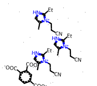 CCc1[nH]cc(C)[n+]1CCC#N.CCc1[nH]cc(C)[n+]1CCC#N.CCc1[nH]cc(C)[n+]1CCC#N.O=C([O-])c1ccc(C(=O)[O-])c(C(=O)[O-])c1